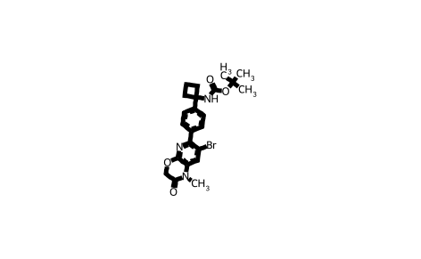 CN1C(=O)COc2nc(-c3ccc(C4(NC(=O)OC(C)(C)C)CCC4)cc3)c(Br)cc21